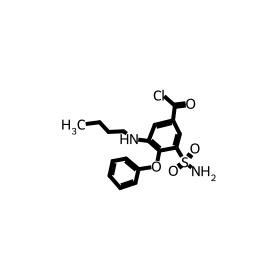 CCCCNc1cc(C(=O)Cl)cc(S(N)(=O)=O)c1Oc1ccccc1